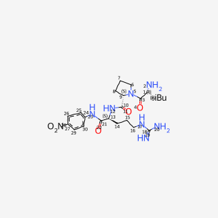 CC[C@@H](C)[C@@H](N)C(=O)N1CCC[C@H]1C(=O)N[C@@H](CCCNC(=N)N)C(=O)Nc1ccc([N+](=O)[O-])cc1